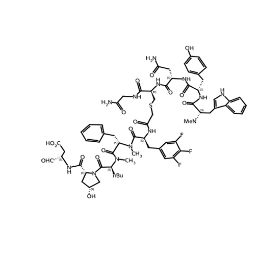 CCCC[C@@H](C(=O)N1C[C@H](O)C[C@@H]1C(=O)N[C@H](C=O)CC(=O)O)N(C)C(=O)[C@H](Cc1ccccc1)N(C)C(=O)[C@H](Cc1cc(F)c(F)c(F)c1)NC(=O)CSC[C@H](NC(=O)[C@H](CC(N)=O)NC(=O)[C@H](Cc1ccc(O)cc1)NC(=O)[C@H](Cc1c[nH]c2ccccc12)NC)C(=O)NCC(N)=O